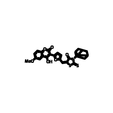 COc1ccc2oc(=O)c(-c3ccc(/C=C4/SC(=S)N(C5C6CC7CC(C6)CC5C7)C4=O)o3)c(O)c2c1